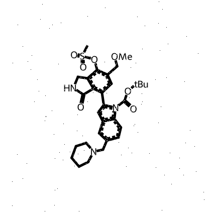 COCc1cc(-c2cc3cc(CN4CCCCC4)ccc3n2C(=O)OC(C)(C)C)c2c(c1OS(C)(=O)=O)CNC2=O